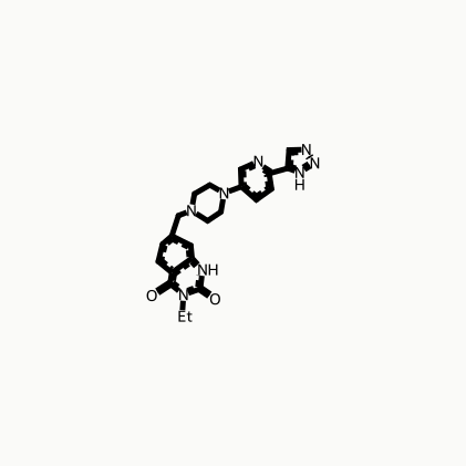 CCn1c(=O)[nH]c2cc(CN3CCN(c4ccc(-c5cnn[nH]5)nc4)CC3)ccc2c1=O